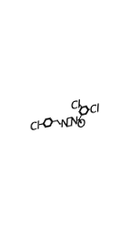 O=C(c1cc(Cl)cc(Cl)c1)N1CCN(CCc2ccc(Cl)cc2)CC1